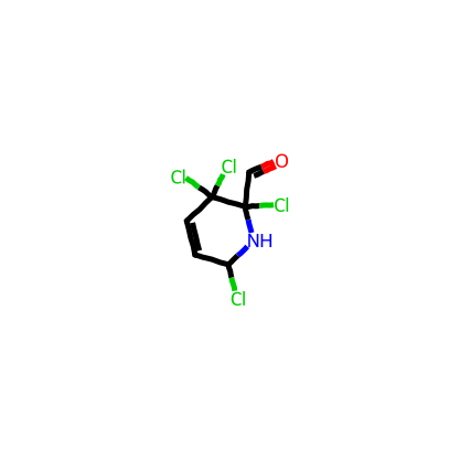 O=CC1(Cl)NC(Cl)C=CC1(Cl)Cl